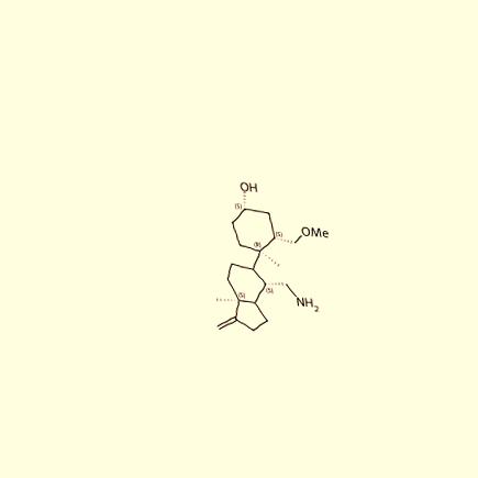 C=C1CCC2[C@@H](CN)C([C@@]3(C)CC[C@H](O)C[C@@H]3COC)CC[C@]12C